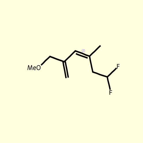 C=C(/C=C(/C)CC(F)F)COC